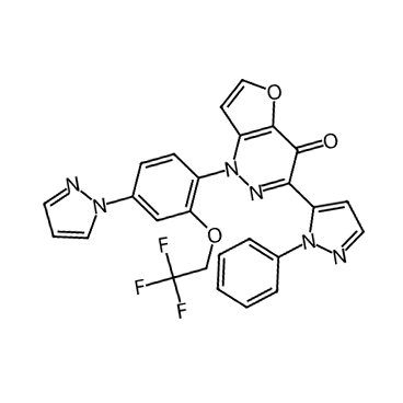 O=c1c(-c2ccnn2-c2ccccc2)nn(-c2ccc(-n3cccn3)cc2OCC(F)(F)F)c2ccoc12